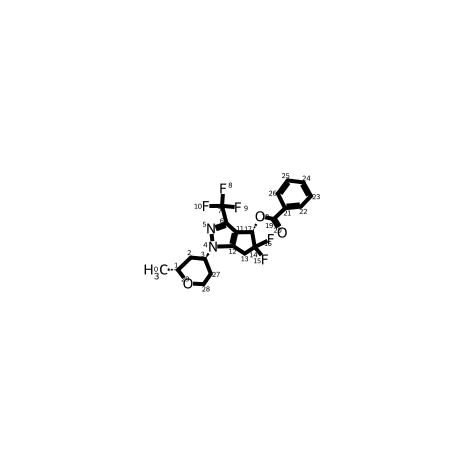 C[C@@H]1C[C@H](n2nc(C(F)(F)F)c3c2CC(F)(F)[C@H]3OC(=O)c2ccccc2)CCO1